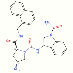 NC(=O)n1cc(NC(=O)N2C[C@@H](N)C[C@H]2C(=O)NCc2cccc3ccccc23)c2ccccc21